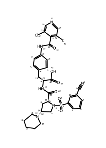 N#Cc1cccc(S(=O)(=O)N2C[C@H](N3CCCCC3)C[C@H]2C(=O)N[C@@H](Cc2ccc(NC(=O)c3c(Cl)cncc3Cl)cc2)C(=O)O)c1